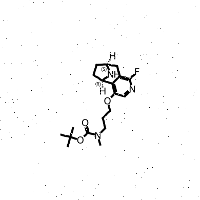 CN(CCCOc1cnc(F)c2c1[C@H]1CC[C@@H](C2)N1)C(=O)OC(C)(C)C